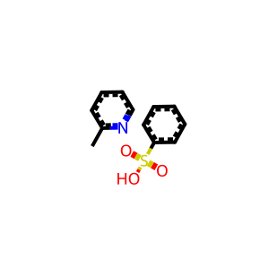 Cc1ccccn1.O=S(=O)(O)c1ccccc1